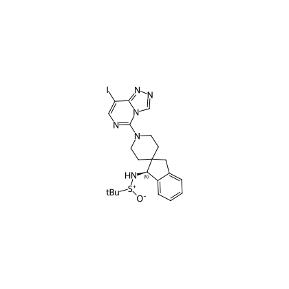 CC(C)(C)[S+]([O-])N[C@@H]1c2ccccc2CC12CCN(c1ncc(I)c3nncn13)CC2